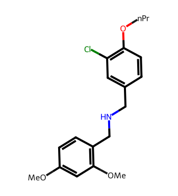 CCCOc1ccc(CNCc2ccc(OC)cc2OC)cc1Cl